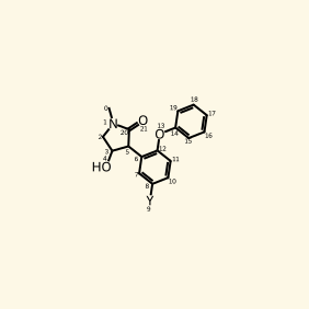 CN1CC(O)C(c2c[c]([Y])ccc2Oc2ccccc2)C1=O